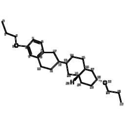 CCCOc1ccc2c(c1)CCC(C1CCC3C[C@H](OCCC)CC[C@@H]3C1)C2